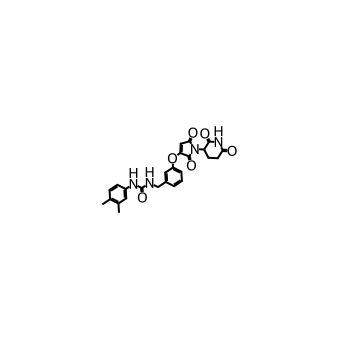 Cc1ccc(NC(=O)NCc2cccc(OC3=CC(=O)N(C4CCC(=O)NC4=O)C3=O)c2)cc1C